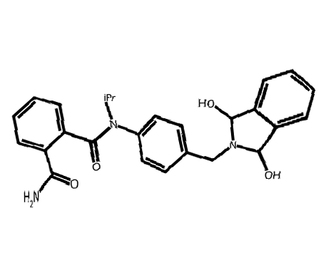 CC(C)N(C(=O)c1ccccc1C(N)=O)c1ccc(CN2C(O)c3ccccc3C2O)cc1